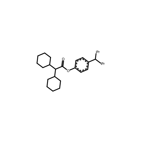 CC(C)C(c1ccc(OC(=O)C(C2CCCCC2)C2CCCCC2)cc1)C(C)C